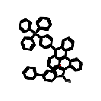 Cn1c(-c2ccccc2-c2c3ccccc3c(-c3ccc([Si](c4ccccc4)(c4ccccc4)c4ccccc4)cc3)c3ccccc23)nc2cc(-c3ccccc3)ccc21